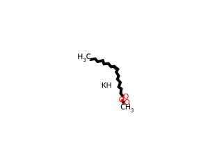 CCCCCCCC/C=C\CCCCCCCC(=O)OC(C)=O.[KH]